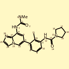 CNC(=O)Nc1cc(-c2cccc(NC(=O)N3CCCC3)c2C)cn2ccnc12